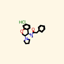 CN(C(=O)Cc1ccccc1)[C@@H]1c2ccccc2OC[C@H]1N1CCCC1.Cl